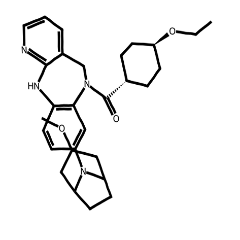 CCO[C@H]1CC[C@H](C(=O)N2Cc3cccnc3Nc3ccc(N4C5CCC4CC(OC)C5)cc32)CC1